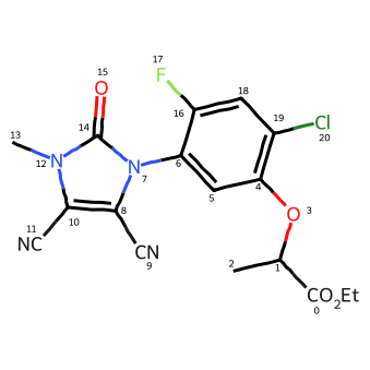 CCOC(=O)C(C)Oc1cc(-n2c(C#N)c(C#N)n(C)c2=O)c(F)cc1Cl